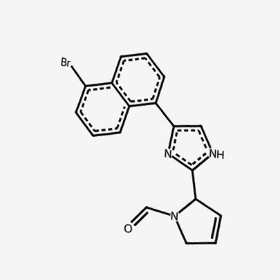 O=CN1CC=CC1c1nc(-c2cccc3c(Br)cccc23)c[nH]1